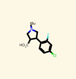 CC(C)(C)N1CC(C(=O)O)C(c2ccc(Cl)cc2F)C1